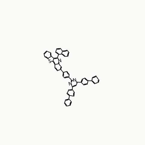 c1ccc(-c2ccc(-c3cc(-c4ccc(-c5ccccc5)cc4)nc(-c4ccc(-c5ccc6c(c5)nc(-c5cccc7ccccc57)c5c7ccccc7sc65)cc4)n3)cc2)cc1